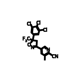 Cc1cc(C2=NOC(c3cc(Cl)c(Cl)c(Cl)c3)(C(F)(F)F)C2)cnc1C#N